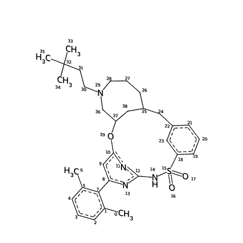 Cc1cccc(C)c1-c1cc2nc(n1)NS(=O)(=O)c1cccc(c1)CC1CCCN(CCC(C)(C)C)CC(C1)O2